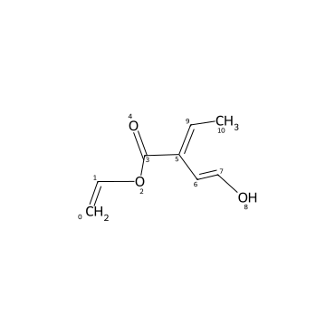 C=COC(=O)C(C=CO)=CC